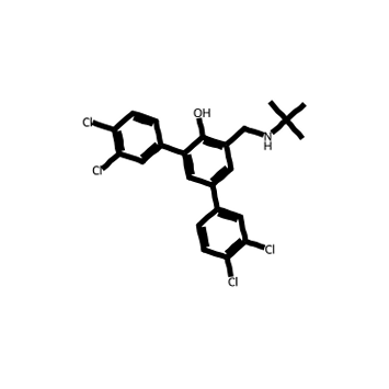 CC(C)(C)NCc1cc(-c2ccc(Cl)c(Cl)c2)cc(-c2ccc(Cl)c(Cl)c2)c1O